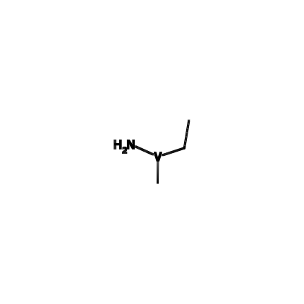 C[CH2][V]([CH3])[NH2]